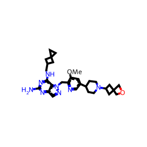 COc1cc(C2CCN(C3CC4(COC4)C3)CC2)cnc1Cn1ncc2nc(N)nc(NCC3CC4(CC4)C3)c21